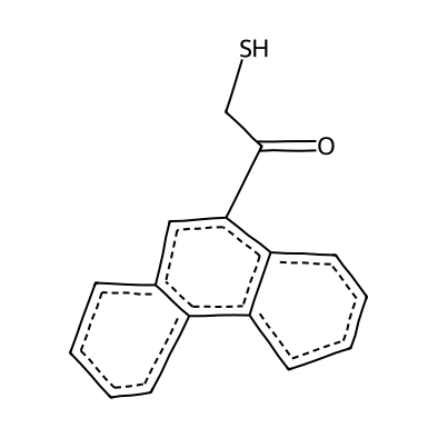 O=C(CS)c1cc2ccccc2c2ccccc12